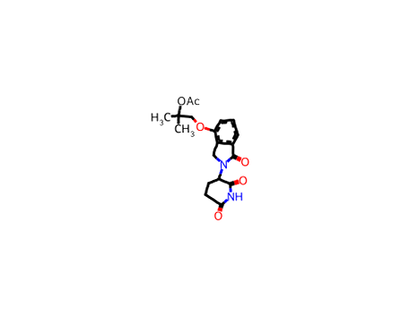 CC(=O)OC(C)(C)COc1cccc2c1CN(C1CCC(=O)NC1=O)C2=O